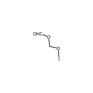 O=COCOI